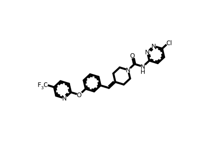 O=C(Nc1ccc(Cl)nn1)N1CCC(=Cc2cccc(Oc3ccc(C(F)(F)F)cn3)c2)CC1